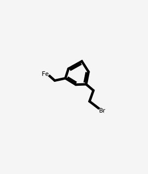 [Fe][CH2]c1cccc(CCBr)c1